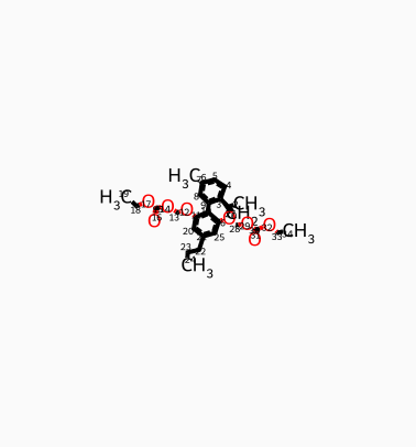 C=C(C)c1ccc(C)cc1-c1c(OCOC(=O)OCC)cc(CCC)cc1OCOC(=O)OCC